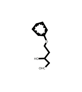 O=[C]CC(O)CCOc1ccccc1